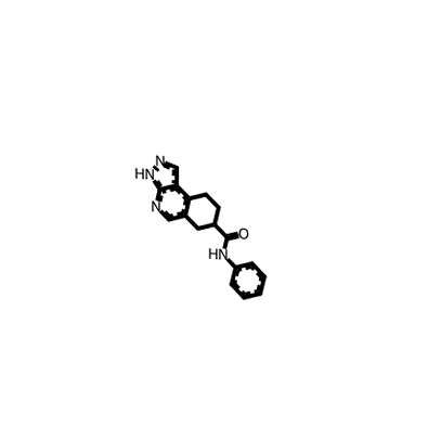 O=C(Nc1ccccc1)C1CCc2c(cnc3[nH]ncc23)C1